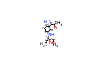 CCC(O)(CC)CNc1cccc(C(N)C(C)=O)c1